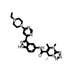 CCN1CCN(c2cc(-c3n[nH]c4ccc(NC(=O)C5=C(C)N(C)c6nnnn6[C@@H]5C)cc34)ncn2)CC1